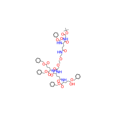 CC(C)(C)OC(=O)CNC(=O)C(CCC(=O)NCCOCCOCC(=O)NC(CCC(=O)NC(CCC(O)OCc1ccccc1)C(=O)OCc1ccccc1)C(=O)NC(CCC(=O)OCc1ccccc1)C(=O)OCc1ccccc1)NC(=O)Oc1ccccc1